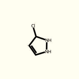 ClC1[C]=CNN1